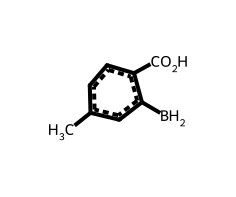 Bc1cc(C)ccc1C(=O)O